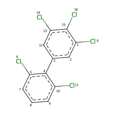 Clc1cc(-c2c(Cl)cccc2Cl)cc(Cl)c1Cl